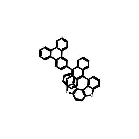 c1ccc2c(c1)oc1ccc3oc4cccc(-c5c6ccccc6c(-c6ccc7c8ccccc8c8ccccc8c7c6)c6ccccc56)c4c3c12